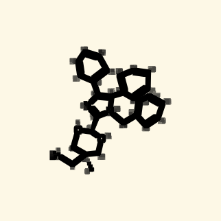 C[C@]1(CBr)CO[C@@H](c2nc(-c3ccccc3)c(-c3ccccc3)n2Cc2ccccc2)OC1